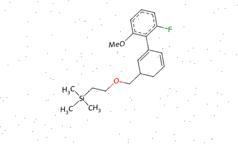 COc1cccc(F)c1C1=CC(COCC[Si](C)(C)C)CC=C1